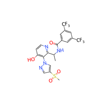 CC(NC(=O)c1cc(C(F)(F)F)cc(C(F)(F)F)c1)c1nccc(O)c1-n1cc(S(C)(=O)=O)cn1